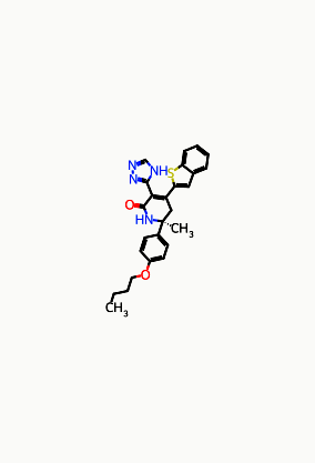 CCCCOc1ccc([C@]2(C)CC(c3cc4ccccc4s3)=C(c3nnc[nH]3)C(=O)N2)cc1